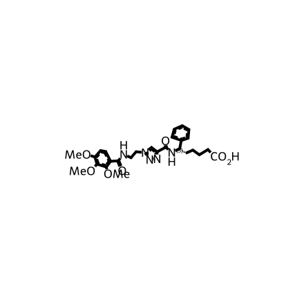 COc1ccc(C(=O)NCCn2cc(C(=O)N[C@@H](CCCCC(=O)O)c3ccccc3)nn2)c(OC)c1OC